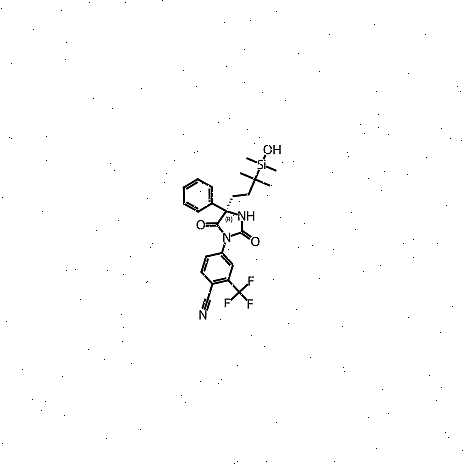 CC(C)(CC[C@]1(c2ccccc2)NC(=O)N(c2ccc(C#N)c(C(F)(F)F)c2)C1=O)[Si](C)(C)O